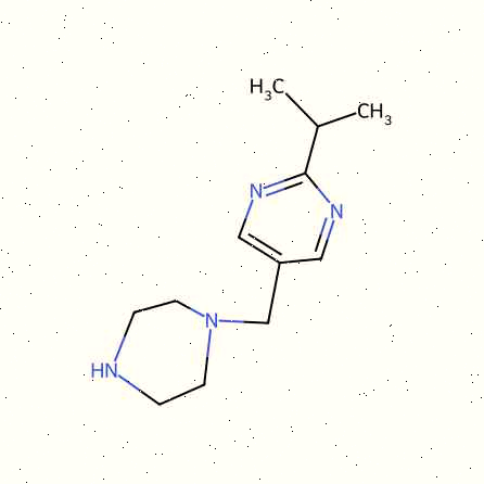 CC(C)c1ncc(CN2CCNCC2)cn1